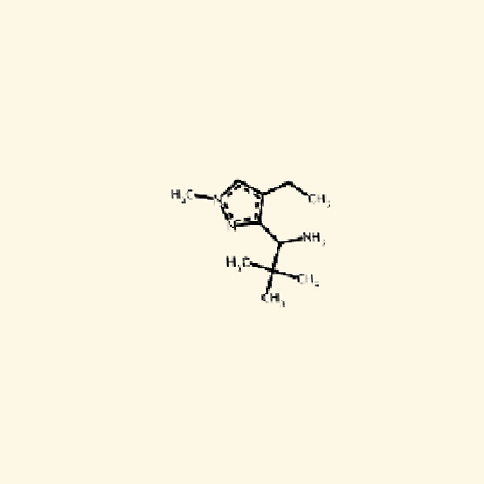 CCc1cn(C)nc1C(N)C(C)(C)C